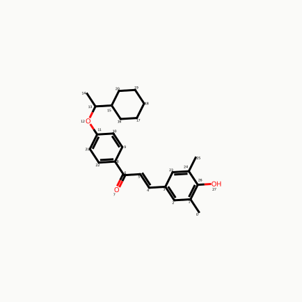 Cc1cc(C=CC(=O)c2ccc(OC(C)C3CCCCC3)cc2)cc(C)c1O